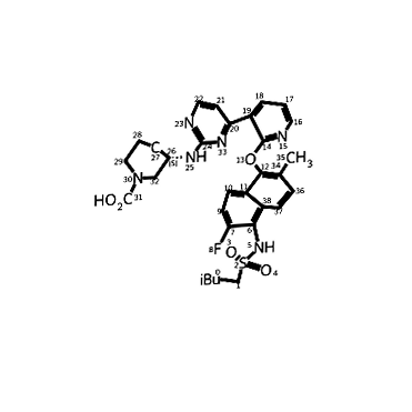 CCC(C)CS(=O)(=O)Nc1c(F)ccc2c(Oc3ncccc3-c3ccnc(N[C@H]4CCCN(C(=O)O)C4)n3)c(C)ccc12